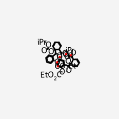 CCOC(=O)Oc1ccccc1C(=O)C1(OC(=O)OC(C)C)C=CC=CC1C(=O)OOC(=O)C1C=CC=CC1(OC(=O)OC(C)C)C(=O)c1ccccc1OC(=O)OCC